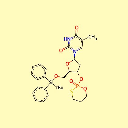 Cc1cn([C@H]2C[C@H](OP3(=O)OCCCS3)[C@@H](CO[Si](c3ccccc3)(c3ccccc3)C(C)(C)C)O2)c(=O)[nH]c1=O